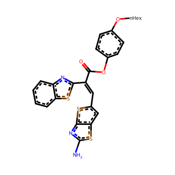 CCCCCCOc1ccc(OC(=O)/C(=C/c2cc3sc(N)nc3s2)c2nc3ccccc3s2)cc1